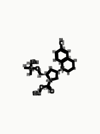 CC(C)(C)OC(=O)N1C[C@@H](N2CCCc3cc(Cl)ccc32)C[C@H]1CO[Si](C)(C)C(C)(C)C